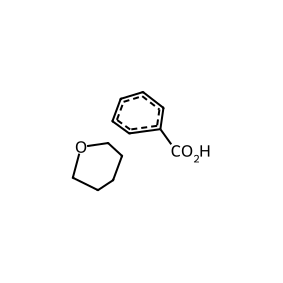 C1CCOCC1.O=C(O)c1ccccc1